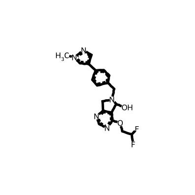 Cn1cc(-c2ccc(CN3Cc4ncnc(OCC(F)F)c4C3O)cc2)cn1